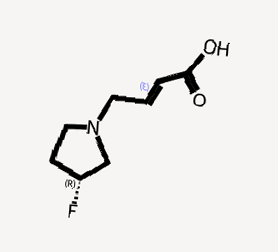 O=C(O)/C=C/CN1CC[C@@H](F)C1